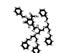 O=C(NC(COC(COCc1ccccc1)COCc1ccccc1)COC(COCc1ccccc1)COCc1ccccc1)c1cc(C(=O)O)c(OCc2ccccc2)c(=O)[nH]1